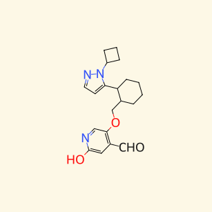 O=Cc1cc(O)ncc1OCC1CCCCC1c1ccnn1C1CCC1